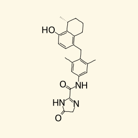 Cc1cc(NC(=O)C2=NCC(=O)N2)cc(C)c1Cc1ccc(O)c2c1CCC[C@H]2C